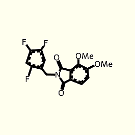 COc1ccc2c(c1OC)C(=O)N(Cc1cc(F)c(F)cc1F)C2=O